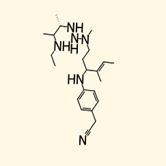 C/C=C(\C)C(CCN(C)NN[C@@H](C)C(C)NCC)Nc1ccc(CC#N)cc1